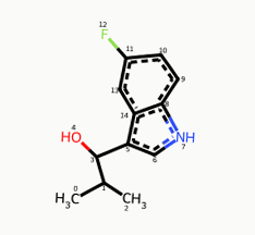 CC(C)C(O)c1c[nH]c2ccc(F)cc12